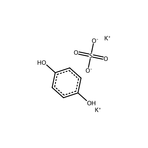 O=S(=O)([O-])[O-].Oc1ccc(O)cc1.[K+].[K+]